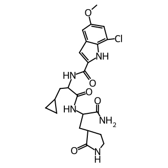 COc1cc(Cl)c2[nH]c(C(=O)NC(CC3CC3)C(=O)NC(CC3CCNC3=O)C(N)=O)cc2c1